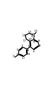 Cc1ccc(-c2cccc3c2CCCN3C)cc1